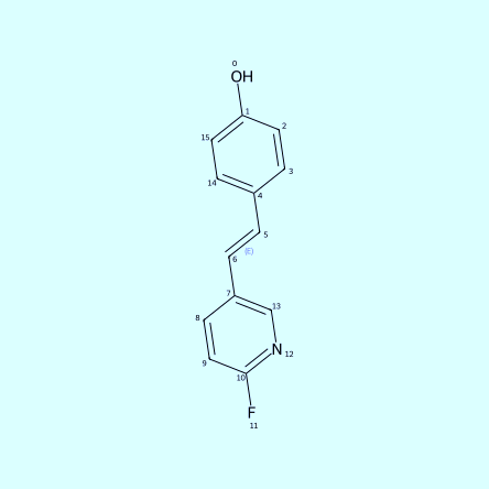 Oc1ccc(/C=C/c2ccc(F)nc2)cc1